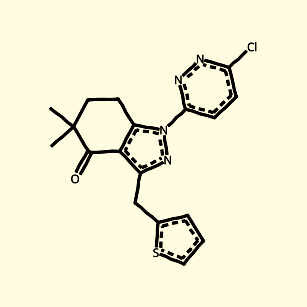 CC1(C)CCc2c(c(Cc3cccs3)nn2-c2ccc(Cl)nn2)C1=O